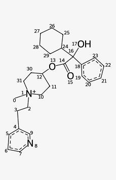 C[N+]1(CCc2cccnc2)CCC(OC(=O)C(O)(c2ccccc2)C2CCCCC2)CC1